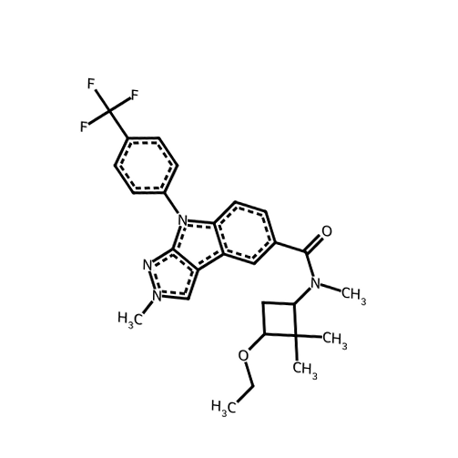 CCOC1CC(N(C)C(=O)c2ccc3c(c2)c2cn(C)nc2n3-c2ccc(C(F)(F)F)cc2)C1(C)C